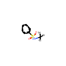 [2H]C([2H])([2H])NS(=O)(=O)c1ccccc1